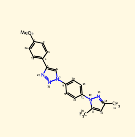 COc1ccc(-c2cn(-c3ccc(-n4nc(C(F)(F)F)cc4C(F)(F)F)cc3)nn2)cc1